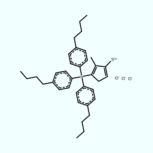 CCCCc1ccc([Si](C2=C(C)[C]([Ti+3])=CC2)(c2ccc(CCCC)cc2)c2ccc(CCCC)cc2)cc1.[Cl-].[Cl-].[Cl-]